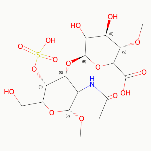 CO[C@@H]1OC(CO)[C@H](OS(=O)(=O)O)[C@H](O[C@@H]2OC(C(=O)O)[C@@H](OC)[C@H](O)C2O)C1NC(C)=O